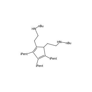 CCCCNCCC1=C(C(C)CCC)C(C(C)CCC)=C(C(C)CCC)C1CCNCCCC